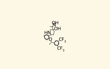 C/C(=N\O)C1(O)CC[C@@](CO[C@H](C)c2cc(C(F)(F)F)cc(C(F)(F)F)c2)(c2ccccc2)NC1